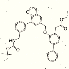 CCOC(=O)Cc1ccc(-c2ccccc2)cc1OCc1cc(-c2cccc(CNC(=O)OC(C)(C)C)c2)c2occc2c1